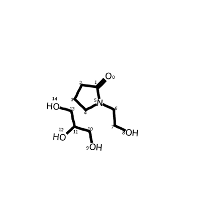 O=C1CCCN1CCO.OCC(O)CO